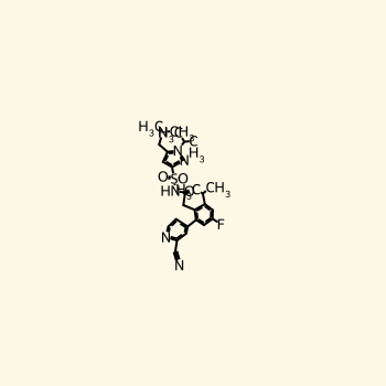 CC(C)c1cc(F)cc(-c2ccnc(C#N)c2)c1CC(=O)NS(=O)(=O)c1cc(CN(C)C)n(C(C)C)n1